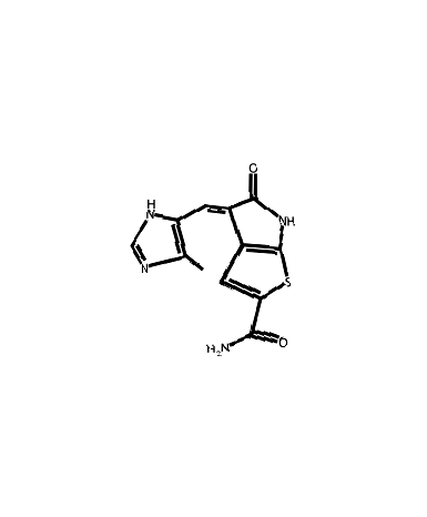 Cc1nc[nH]c1C=C1C(=O)Nc2sc(C(N)=O)cc21